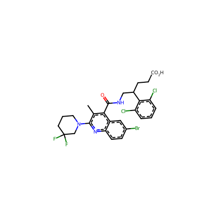 Cc1c(N2CCCC(F)(F)C2)nc2ccc(Br)cc2c1C(=O)NCC(CCC(=O)O)c1c(Cl)cccc1Cl